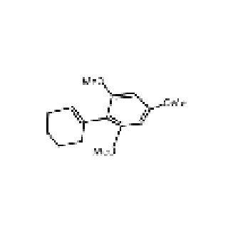 COc1cc(OC)c(C2=CCCCC2)c(OC)c1